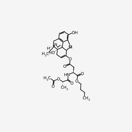 CCCCOC(=O)[C@H](CC(=O)OC1=CC[C@@]2(O)[C@H]3Cc4ccc(O)c5c4[C@@]2(CCN3C)[C@H]1O5)NC(=O)[C@H](C)OC(C)=O